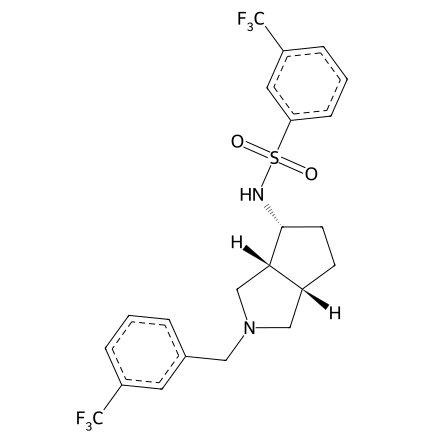 O=S(=O)(N[C@@H]1CC[C@@H]2CN(Cc3cccc(C(F)(F)F)c3)C[C@@H]21)c1cccc(C(F)(F)F)c1